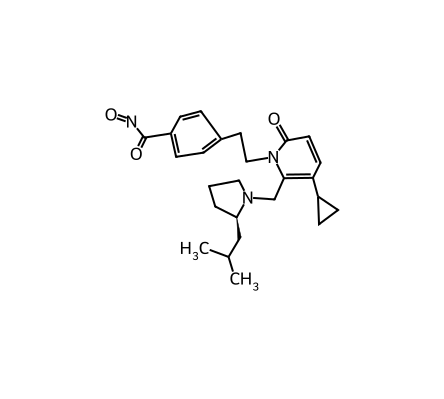 CC(C)C[C@H]1CCCN1Cc1c(C2CC2)ccc(=O)n1CCc1ccc(C(=O)N=O)cc1